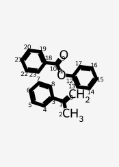 C=C(C)c1ccccc1.O=C(Oc1ccccc1)c1ccccc1